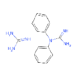 N=C(N)N.N=C(N)N(c1ccccc1)c1ccccc1